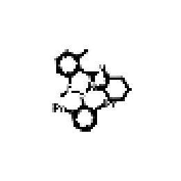 Cc1cccc2c1-c1nc3c(n1B(c1c(C(C)C)cccc1C(C)C)N2C)CCCC3